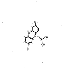 O=C(O)O.O=c1ccc2nc3cc(Cl)ccc3oc-2c1